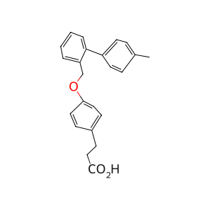 Cc1ccc(-c2ccccc2COc2ccc(CCC(=O)O)cc2)cc1